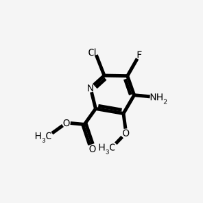 COC(=O)c1nc(Cl)c(F)c(N)c1OC